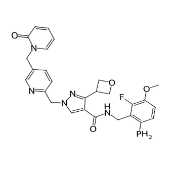 COc1ccc(P)c(CNC(=O)c2cn(Cc3ccc(Cn4ccccc4=O)cn3)nc2C2COC2)c1F